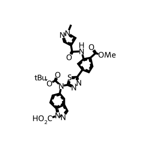 COC(=O)c1ccc(-c2nnc(N(C(=O)OC(C)(C)C)c3ccc4c(cnn4C(=O)O)c3)s2)cc1NC(=O)c1cnn(C)c1